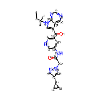 CCC(C)(C)n1cc(C(=O)c2cncc(NC(=O)Cn3cc(C4CC4)cn3)c2)c2cncnc21